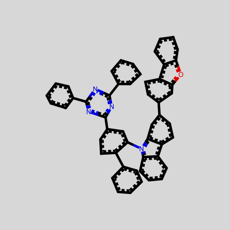 c1ccc(-c2nc(-c3ccccc3)nc(-c3ccc(-c4ccccc4)c(-n4c5ccccc5c5ccc(-c6ccc7c(c6)oc6ccccc67)cc54)c3)n2)cc1